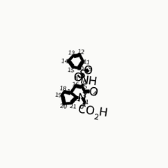 O=C(O)Cn1c(=O)c(NS(=O)(=O)c2ccccc2)cc2ccccc21